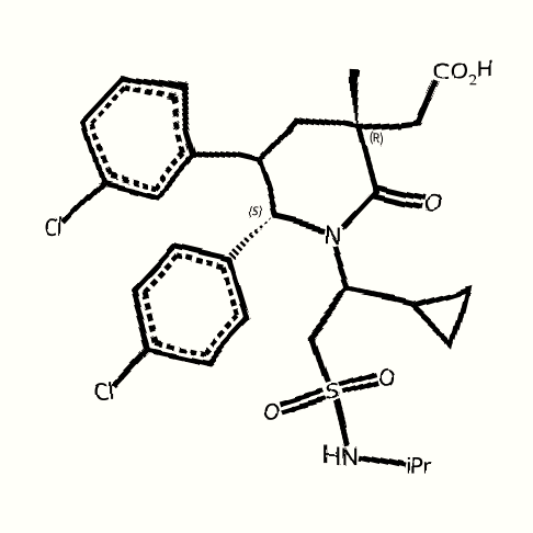 CC(C)NS(=O)(=O)CC(C1CC1)N1C(=O)[C@@](C)(CC(=O)O)CC(c2cccc(Cl)c2)[C@H]1c1ccc(Cl)cc1